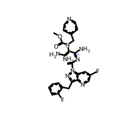 C=C(/N=C(/N)C(=C(N)N)N(Cc1ccncc1)C(=O)OC)n1nc(Cc2ccccc2F)c2ncc(F)cc21